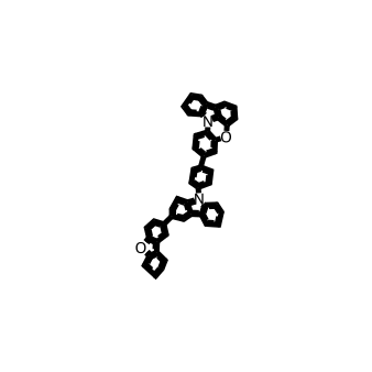 c1ccc2c(c1)oc1ccc(-c3ccc4c(c3)c3ccccc3n4-c3ccc(-c4ccc5c(c4)Oc4cccc6c7ccccc7n-5c46)cc3)cc12